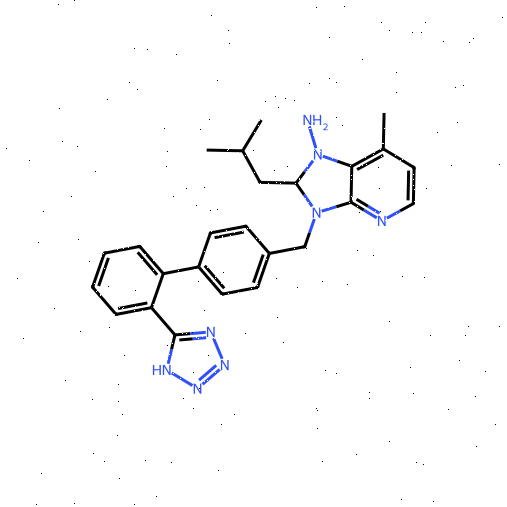 Cc1ccnc2c1N(N)C(CC(C)C)N2Cc1ccc(-c2ccccc2-c2nnn[nH]2)cc1